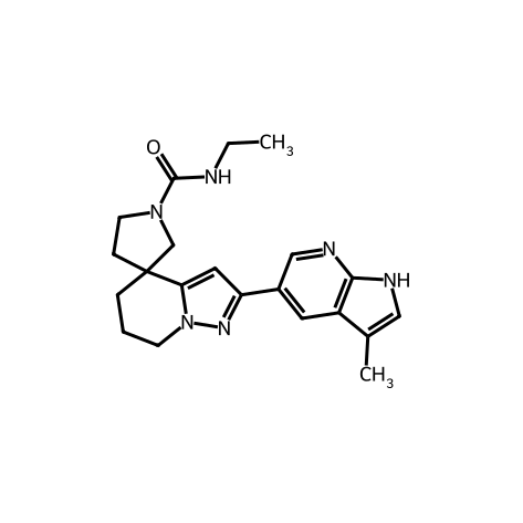 CCNC(=O)N1CCC2(CCCn3nc(-c4cnc5[nH]cc(C)c5c4)cc32)C1